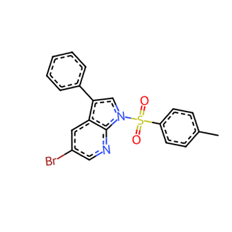 Cc1ccc(S(=O)(=O)n2cc(-c3ccccc3)c3cc(Br)cnc32)cc1